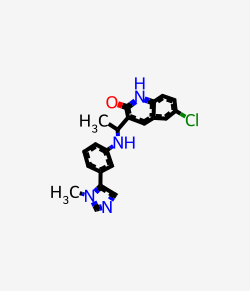 CC(Nc1cccc(-c2cncn2C)c1)c1cc2cc(Cl)ccc2[nH]c1=O